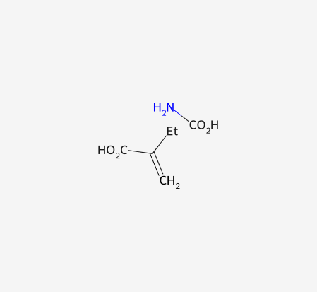 C=C(CC)C(=O)O.NC(=O)O